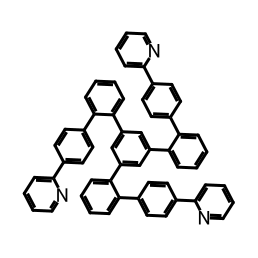 c1ccc(-c2ccc(-c3ccccc3-c3cc(-c4ccccc4-c4ccc(-c5ccccn5)cc4)cc(-c4ccccc4-c4ccc(-c5ccccn5)cc4)c3)cc2)nc1